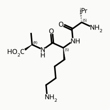 CC(C)[C@H](N)C(=O)N[C@@H](CCCCN)C(=O)N[C@H](C)C(=O)O